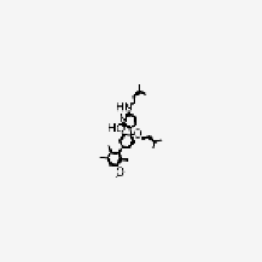 COc1cc(C)c(C)c(C2C=CC(OCC=C(C)C)(c3ccc(NCC=C(C)C)nc3)C(O)=C2)c1C